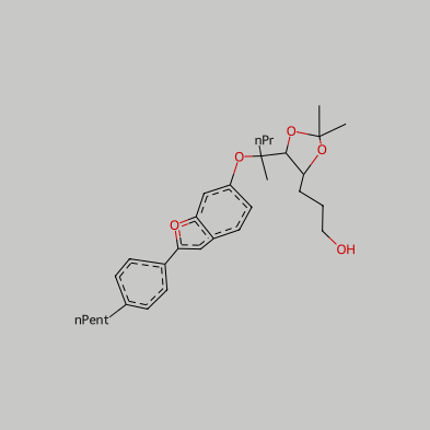 CCCCCc1ccc(-c2cc3ccc(OC(C)(CCC)C4OC(C)(C)OC4CCCO)cc3o2)cc1